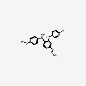 CC(C)Oc1ccc(N(N)c2ccc(N=NN)cc2Cc2ccc(Cl)cc2)cc1